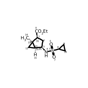 CCOC(=O)[C@H]1C[C@@H](NS(=O)(=O)C2CC2)[C@H]2C[C@@]12C